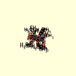 C=C(C)CC(C)(C)c1ccc(Oc2cc3c4c(cc(Oc5ccc(/C(C)=C/C(C)(C)C)cc5)c5c6ccc7c8c(Oc9ccc(C(C)(C)CC(C)(C)C)cc9)ccc9c(N(c%10ccc(OC)cc%10)c%10ccc(OC)cc%10)cc(Oc%10ccc(C(C)(C)CC(C)(C)C)cc%10)c(c%10ccc(c2c45)c6c7%10)c98)C(=O)OC3=O)cc1